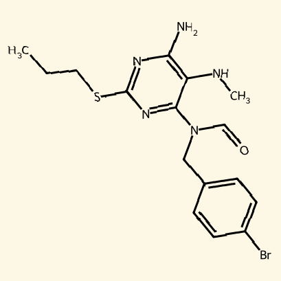 CCCSc1nc(N)c(NC)c(N(C=O)Cc2ccc(Br)cc2)n1